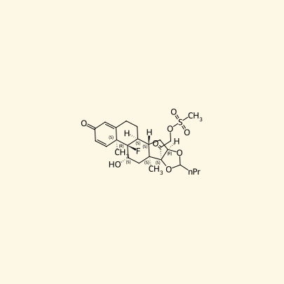 CCCC1O[C@@H]2C[C@H]3[C@@H]4CCC5=CC(=O)C=C[C@]5(C)[C@@]4(F)[C@@H](O)C[C@]3(C)[C@]2(C(=O)COS(C)(=O)=O)O1